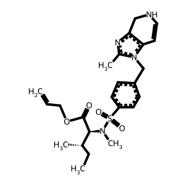 C=CCOC(=O)[C@H]([C@@H](C)CC)N(C)S(=O)(=O)c1ccc(Cn2c(C)nc3c2C=CNC3)cc1